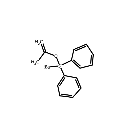 C=C(C)O[Si](c1ccccc1)(c1ccccc1)C(C)(C)C